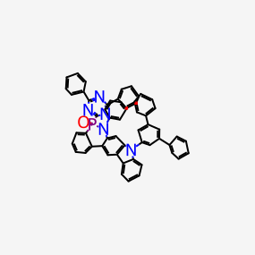 O=P1(c2nc(-c3ccccc3)nc(-c3ccccc3)n2)c2ccccc2-c2cc3c4ccccc4n(-c4cc(-c5ccccc5)cc(-c5ccccc5)c4)c3cc2N1c1ccccc1